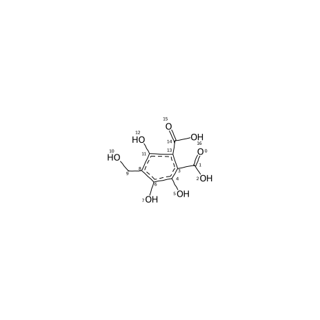 O=C(O)c1c(O)c(O)c(CO)c(O)c1C(=O)O